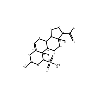 CC(=O)C1CCC2C3CC=C4CC(O)CC(S(=O)(=O)O)C4(C)C3CCC12C